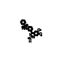 CNc1nc(-c2cccc(NS(=O)(=O)c3ccccc3)c2)c2cc(OC)c(OC)cc2n1